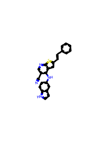 N#Cc1cnc2sc(/C=C/c3ccccc3)cc2c1Nc1ccc2[nH]ccc2c1